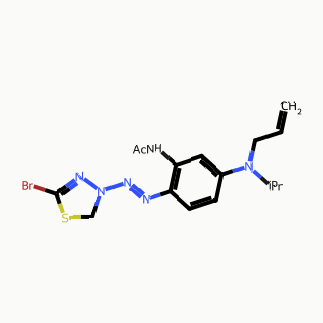 C=CCN(c1ccc(N=NN2CSC(Br)=N2)c(NC(C)=O)c1)C(C)C